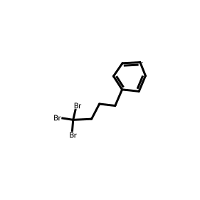 BrC(Br)(Br)CCCc1cc[c]cc1